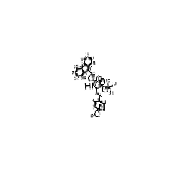 COc1ccc(CCC(NC(=O)OCC2c3ccccc3-c3ccccc32)C(=O)OC(C)(C)C)cn1